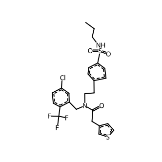 CCCNS(=O)(=O)c1ccc(CCN(Cc2cc(Cl)ccc2C(F)(F)F)C(=O)Cc2ccsc2)cc1